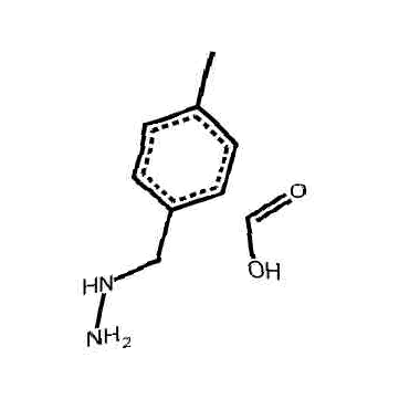 Cc1ccc(CNN)cc1.O=CO